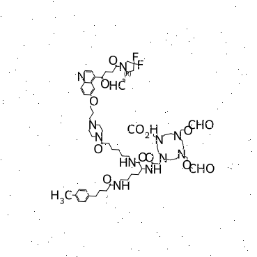 C#C[C@H]1CC(F)(F)CN1C(=O)CCC(=O)c1ccnc2ccc(OCCCN3CCN(C(=O)CCCCCNC(=O)C(CCCCNC(=O)CCCc4ccc(C)cc4)NC(=O)CN4CCN(COC=O)CCN(COC=O)CCN(CC(=O)O)CC4)CC3)cc12